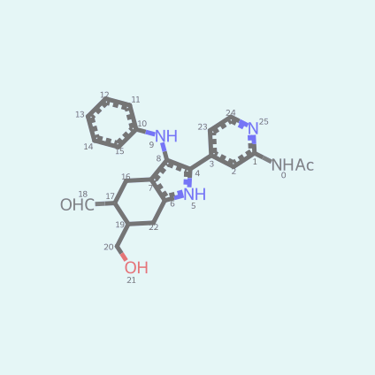 CC(=O)Nc1cc(-c2[nH]c3c(c2Nc2ccccc2)CC(C=O)C(CO)C3)ccn1